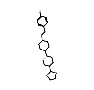 Clc1ccc(CC[C@H]2CC[C@H]([C@H]3CC[C@H](C4OCCO4)CC3)CC2)cc1